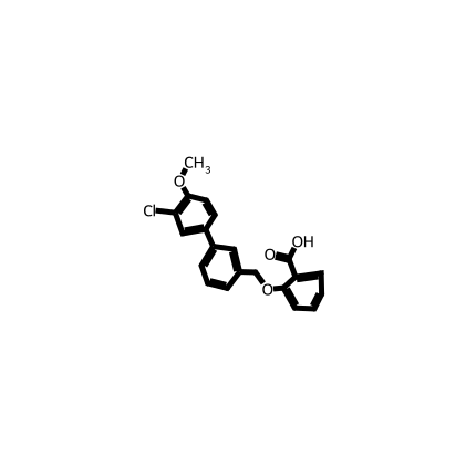 COc1ccc(-c2cccc(COc3ccccc3C(=O)O)c2)cc1Cl